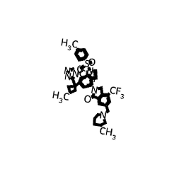 Cc1ccc(S(=O)(=O)n2ccc3c(N4Cc5c(cc(CN6CCC[C@H](C)C6)cc5C(F)(F)F)C4=O)cc(C4(c5nncn5C)CC(C)C4)cc32)cc1